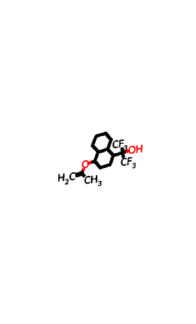 C=C(C)OC1CCC(C(O)(C(F)(F)F)C(F)(F)F)C2CCCCC12